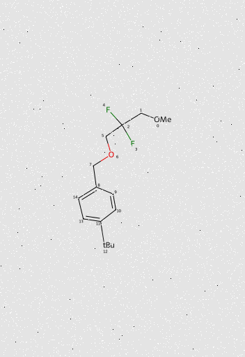 COCC(F)(F)COCc1ccc(C(C)(C)C)cc1